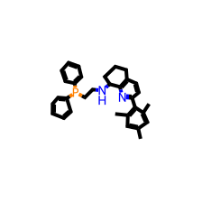 Cc1cc(C)c(-c2ccc3c(n2)C(NCCP(c2ccccc2)c2ccccc2)CCC3)c(C)c1